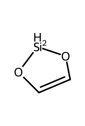 C1=CO[SiH2]O1